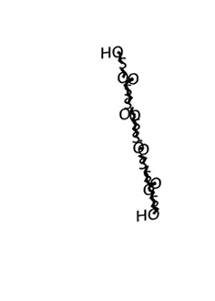 O=C(CSCCSCCOOCSCCSCOC(=O)CSCCSCC(=O)OCCSCCO)OCCSCCO